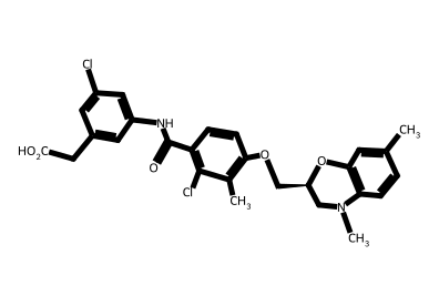 Cc1ccc2c(c1)O[C@H](COc1ccc(C(=O)Nc3cc(Cl)cc(CC(=O)O)c3)c(Cl)c1C)CN2C